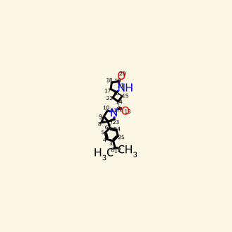 CC(C)c1ccc(C23CC2CN(C(=O)[C@H]2C[C@]4(CCC(=O)N4)C2)C3)cc1